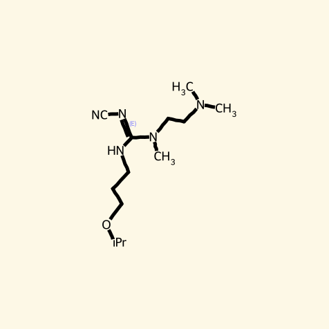 CC(C)OCCCN/C(=N\C#N)N(C)CCN(C)C